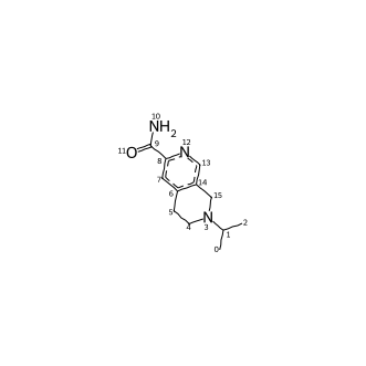 CC(C)N1CCc2cc(C(N)=O)ncc2C1